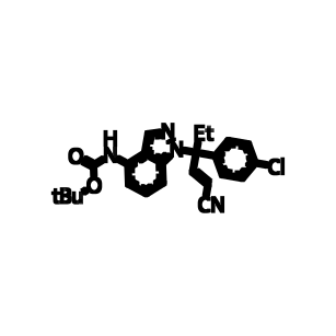 CCC(C=CC#N)(c1ccc(Cl)cc1)n1ncc2c(NC(=O)OC(C)(C)C)cccc21